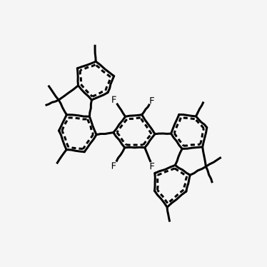 Cc1ccc2c(c1)C(C)(C)c1cc(C)cc(-c3c(F)c(F)c(-c4cc(C)cc5c4-c4ccc(C)cc4C5(C)C)c(F)c3F)c1-2